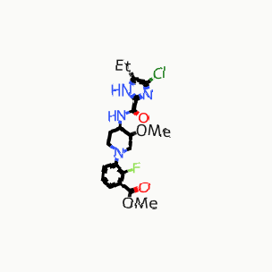 CCc1[nH]c(C(=O)NC2CCN(c3cccc(C(=O)OC)c3F)CC2OC)nc1Cl